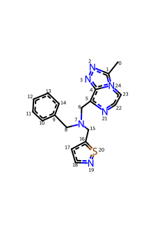 Cc1nnc2c(CN(Cc3ccccc3)Cc3ccns3)nccn12